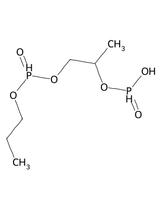 CCCO[PH](=O)OCC(C)O[PH](=O)O